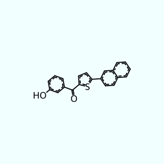 O=C(c1cccc(O)c1)c1ccc(-c2ccc3ccccc3c2)s1